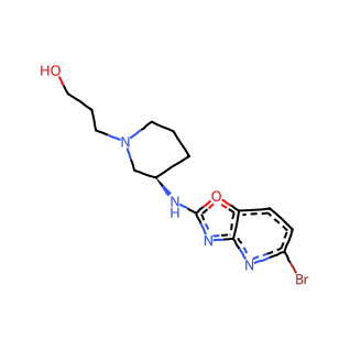 OCCCN1CCC[C@@H](Nc2nc3nc(Br)ccc3o2)C1